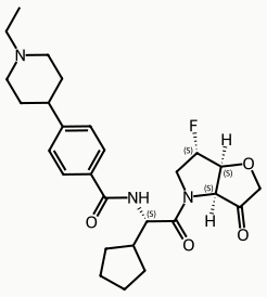 CCN1CCC(c2ccc(C(=O)N[C@H](C(=O)N3C[C@H](F)[C@H]4OCC(=O)[C@H]43)C3CCCC3)cc2)CC1